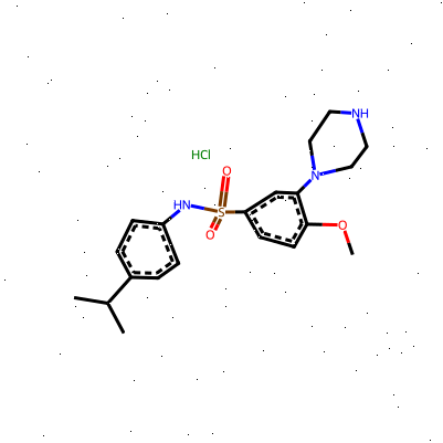 COc1ccc(S(=O)(=O)Nc2ccc(C(C)C)cc2)cc1N1CCNCC1.Cl